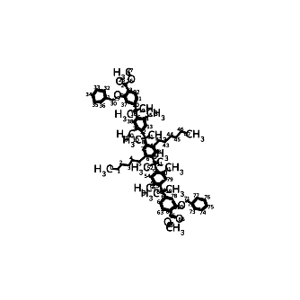 CCCCCCc1cc(C(C)(C)c2cc(C)c(C(C)(C)c3ccc(C(=O)OC)c(OCc4ccccc4)c3)cc2C)c(CCCCCC)cc1C(C)(C)c1cc(C)c(C(C)(C)c2ccc(C(=O)OC)c(OCc3ccccc3)c2)cc1C